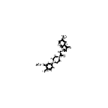 COc1cc(N2CCN(C(=O)Cn3nc(C)c4cc(N=O)cnc43)CC2)ccc1I